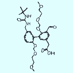 COCCOCOc1ccc(CNC(=O)NC(C)(C)C)cc1-c1cc(CC(=O)O)cc(C=O)c1OCOCCOC